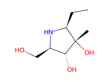 CC[C@@H]1N[C@H](CO)[C@@H](O)[C@@]1(C)O